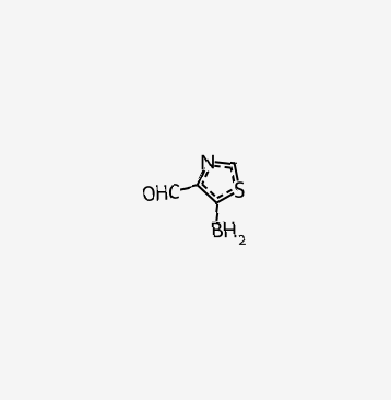 Bc1scnc1C=O